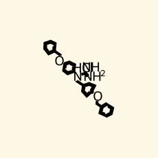 Cl.N=C(N)N(Cc1ccc(OCc2ccccc2)cc1)c1ccc(OCc2ccccc2)cc1